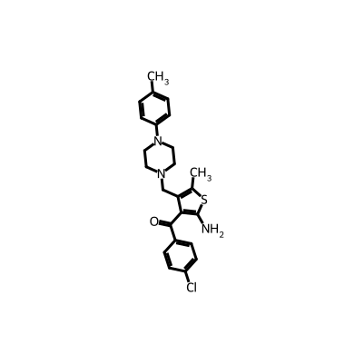 Cc1ccc(N2CCN(Cc3c(C)sc(N)c3C(=O)c3ccc(Cl)cc3)CC2)cc1